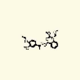 CCOc1ccc(C(C)=NOCc2ccccc2N(COC)C(=O)OC)cc1OC